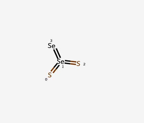 S=[Se](=S)=[Se]